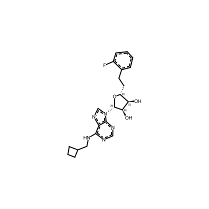 O[C@@H]1[C@H](O)[C@@H](CCc2ccccc2F)O[C@H]1n1cnc2c(NCC3CCC3)ncnc21